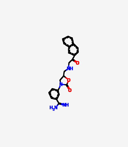 N=C(N)c1cccc(N2CC(CNCC(=O)c3ccc4ccccc4c3)OC2=O)c1